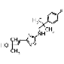 CC(C)(O)/C=C/c1nsc(NCC(C)(C)c2ccc(F)cc2)n1